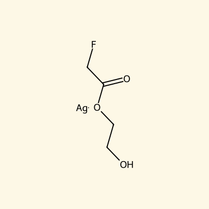 O=C(CF)OCCO.[Ag]